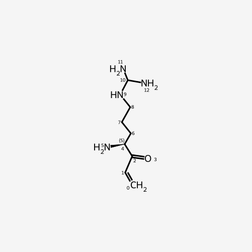 C=CC(=O)[C@@H](N)CCCNC(N)N